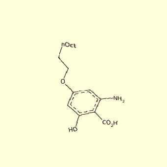 CCCCCCCCCCOc1cc(N)c(C(=O)O)c(O)c1